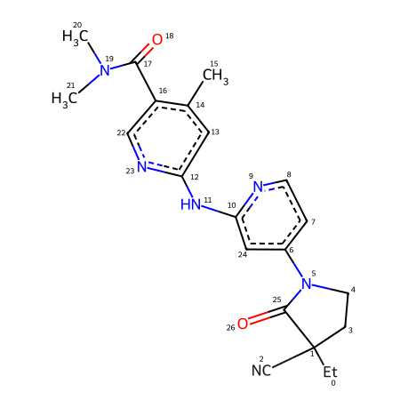 CCC1(C#N)CCN(c2ccnc(Nc3cc(C)c(C(=O)N(C)C)cn3)c2)C1=O